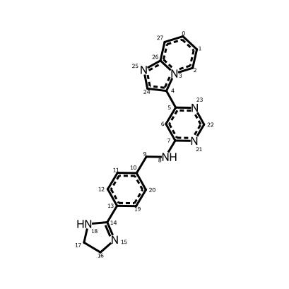 c1ccn2c(-c3cc(NCc4ccc(C5=NCCN5)cc4)ncn3)cnc2c1